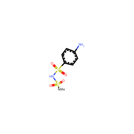 CNS(=O)(=O)NS(=O)(=O)c1ccc(N)cc1